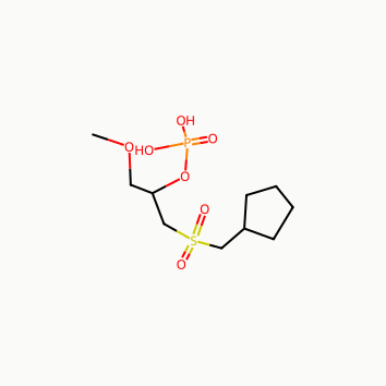 COCC(CS(=O)(=O)CC1CCCC1)OP(=O)(O)O